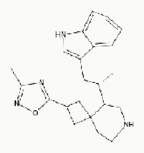 Cc1noc(C2CC3(CCNCC3[C@@H](C)Cc3c[nH]c4ccccc34)C2)n1